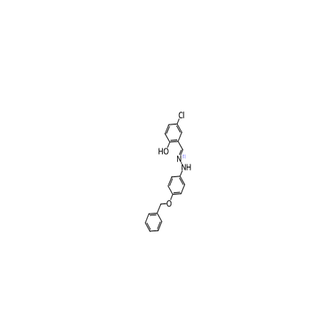 Oc1ccc(Cl)cc1/C=N/Nc1ccc(OCc2ccccc2)cc1